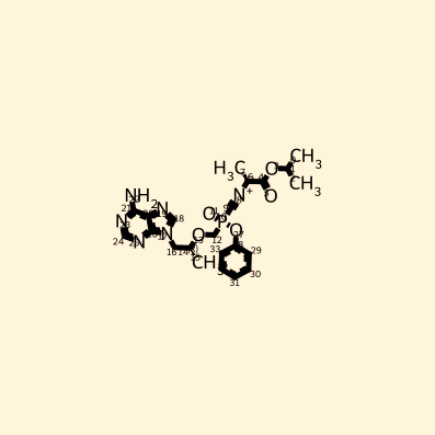 CC(C)OC(=O)[C@H](C)[N+]#CP(=O)(CO[C@H](C)Cn1cnc2c(N)ncnc21)Oc1ccccc1